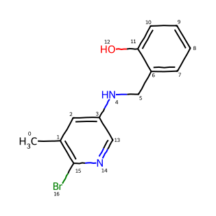 Cc1cc(NCc2ccccc2O)cnc1Br